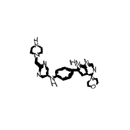 c1nc(N2CCOCC2)c2cc(-c3ccc(Nc4cnc(CN5CCNCC5)nc4)cc3)[nH]c2n1